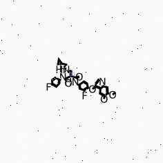 COc1cc2nccc(Oc3ccc(NC(=O)/C(=C/NCC4CC4)C(=O)Nc4ccc(F)cc4)cc3F)c2cc1OC